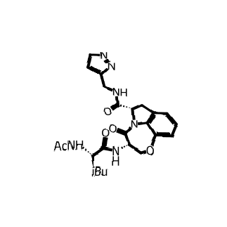 CC[C@H](C)[C@H](NC(C)=O)C(=O)N[C@H]1COc2cccc3c2N(C1=O)[C@H](C(=O)NCC1=CCN=N1)C3